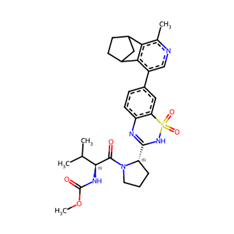 COC(=O)N[C@H](C(=O)N1CCC[C@H]1C1=Nc2ccc(-c3cnc(C)c4c3C3CCC4C3)cc2S(=O)(=O)N1)C(C)C